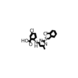 Cc1cc(Nc2ccc(Cl)cc2C(=O)O)nc(SCc2ccccc2Cl)n1